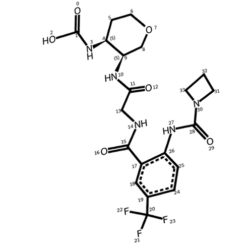 O=C(O)N[C@H]1CCOC[C@H]1NC(=O)CNC(=O)c1cc(C(F)(F)F)ccc1NC(=O)N1CCC1